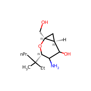 CCCC(C)(CC)[C@@H]1O[C@@]2(CO)C[C@H]2C(O)C1N